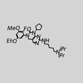 CCOc1cc(OC)c(F)c(N2Cc3cnc(NCCCCCN(C(C)C)C(C)C)nc3N(C3CCCC3)C2=O)c1